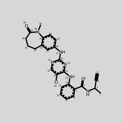 C#CC(C)NC(=O)c1ccccc1Nc1nc(Nc2ccc3c(c2)CCCC(=O)N3C)ncc1Cl